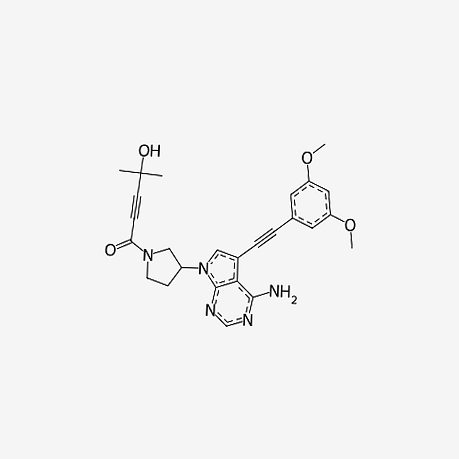 COc1cc(C#Cc2cn(C3CCN(C(=O)C#CC(C)(C)O)C3)c3ncnc(N)c23)cc(OC)c1